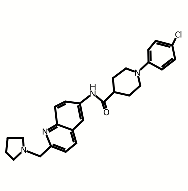 O=C(Nc1ccc2nc(CN3CCCC3)ccc2c1)C1CCN(c2ccc(Cl)cc2)CC1